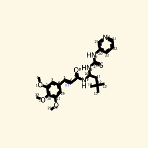 COc1cc(/C=C/C(=O)NC(CC(C)(C)C)NC(=S)Nc2cccnc2)cc(OC)c1OC